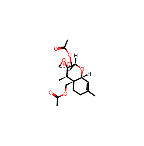 CC(=O)OC[C@]12CCC(C)=C[C@H]1O[C@H]1[C@@]3(CO3)[C@]2(C)C[C@]1(O)OC(C)=O